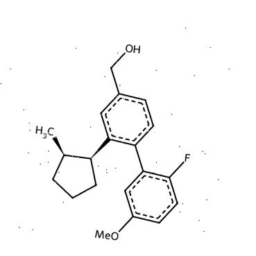 COc1ccc(F)c(-c2ccc(CO)cc2[C@H]2CCC[C@H]2C)c1